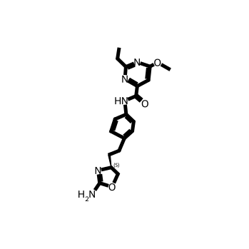 CCc1nc(OC)cc(C(=O)Nc2ccc(CC[C@H]3COC(N)=N3)cc2)n1